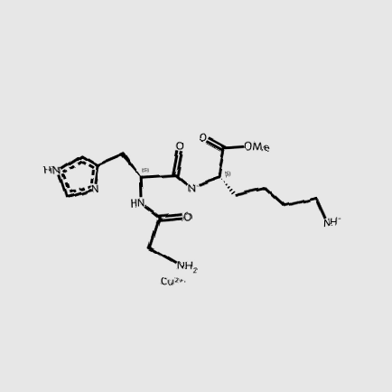 COC(=O)[C@H](CCCC[NH-])[N-]C(=O)[C@H](Cc1c[nH]cn1)NC(=O)CN.[Cu+2]